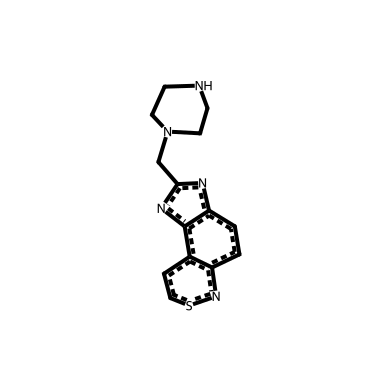 c1cc2c(ccc3nc(CN4CCNCC4)nc32)ns1